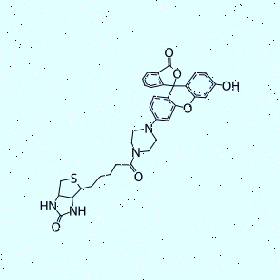 O=C1NC2CSC(CCCCC(=O)N3CCN(c4ccc5c(c4)Oc4cc(O)ccc4C54OC(=O)c5ccccc54)CC3)C2N1